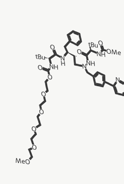 COCCOCCOCCOCCOCCOC(=O)N[C@@H](C(=O)N[C@H]([CH]CN(Cc1ccc(-c2ccccn2)cc1)NC(=O)[C@H](NC(=O)OC)C(C)(C)C)Cc1ccccc1)C(C)(C)C